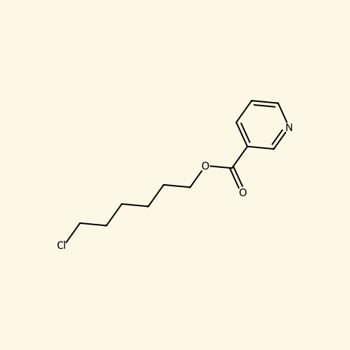 O=C(OCCCCCCCl)c1cccnc1